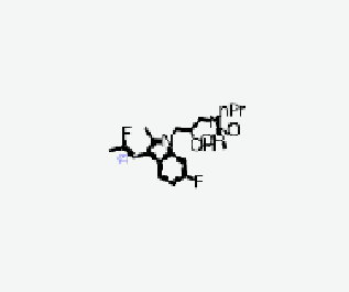 CCCN(CC(O)Cn1c(C)c(/C=C(/C)F)c2ccc(F)cc21)S(C)(=O)=O